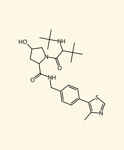 Cc1ncsc1-c1ccc(CNC(=O)C2CC(O)CN2C(=O)C(NC(C)(C)C)C(C)(C)C)cc1